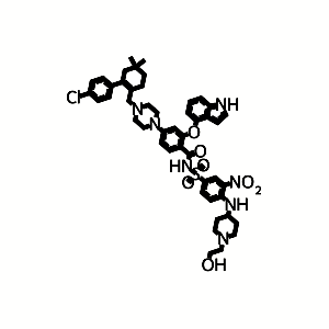 CC1(C)CCC(CN2CCN(c3ccc(C(=O)NS(=O)(=O)c4ccc(NC5CCN(CCO)CC5)c([N+](=O)[O-])c4)c(Oc4cccc5[nH]ccc45)c3)CC2)=C(c2ccc(Cl)cc2)C1